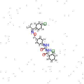 CC(C)C(=NOCc1ccc(NC(=O)NC(=O)c2ccccc2Cl)cc1)c1ccc(Cl)cc1